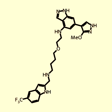 COc1n[nH]cc1-c1cc(NCCOCCCCNCc2cc3cc(C(F)(F)F)ccc3[nH]2)c2cn[nH]c2c1